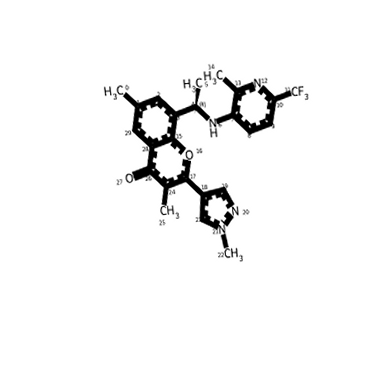 Cc1cc([C@@H](C)Nc2ccc(C(F)(F)F)nc2C)c2oc(-c3cnn(C)c3)c(C)c(=O)c2c1